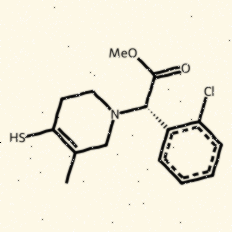 COC(=O)[C@H](c1ccccc1Cl)N1CCC(S)=C(C)C1